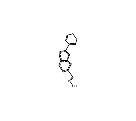 ON=Cc1ccc2ccc(C3=CCCC=C3)cc2c1